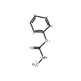 CNC(=O)Oc1cc[c]cc1